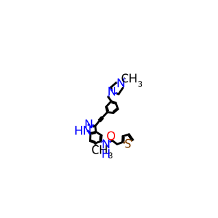 Cc1cc2[nH]nc(C#Cc3cccc(CN4CCN(C)CC4)c3)c2cc1NC(=O)Cc1cccs1